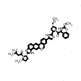 COC[C@H]1CC(c2ncc(-c3ccc4c(c3)COc3cc5c(ccc6nc([C@@H]7CC[C@H](C)N7C(=O)[CH]C(C)C)[nH]c65)cc3-4)[nH]2)N(C(=O)C(NC(=O)OC)c2ccccc2)C1